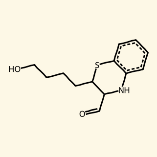 O=CC1Nc2ccccc2SC1CCCCO